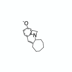 COc1ccc(/C=C2/CCCCCCC2N2CCC2)cc1